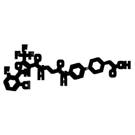 O=C(O)C[C@H]1CC[C@H](c2ccc(NC(=O)CCNC(=O)c3nc(-c4c(F)cccc4Cl)oc3C(F)(F)F)cc2)CC1